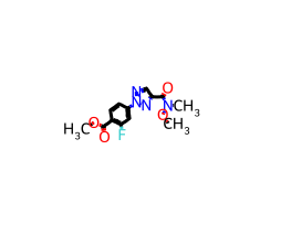 COC(=O)c1ccc(-n2ncc(C(=O)N(C)OC)n2)cc1F